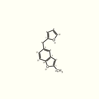 Cc1cc2cc(Cc3ccco3)ccc2o1